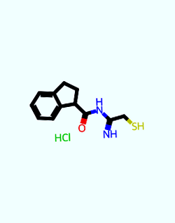 Cl.N=C(CS)NC(=O)C1CCc2ccccc21